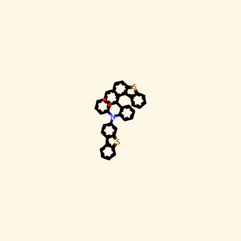 c1ccc(N(c2ccc3c(c2)sc2ccccc23)c2ccccc2-c2cccc3ccc4sc5ccccc5c4c23)cc1